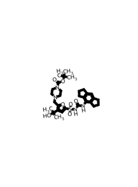 CC(C)(C)OC(=O)N1CCN(Cc2oc(S(=O)(=O)NC(=O)Nc3c4c(cc5c3CCC5)CCC4)cc2C(C)(C)O)CC1